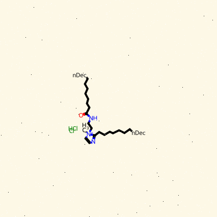 CCCCCCCCCCCCCCCCCC(=O)NCC[N+]1(C)C=CN=C1CCCCCCCCCCCCCCCCC.Cl.[Cl-]